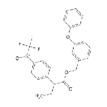 CCC(C(=O)OCc1cccc(Oc2ccccc2)c1)c1ccc([S+]([O-])C(F)(F)F)cc1